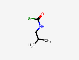 CC(C)CNC(=O)Br